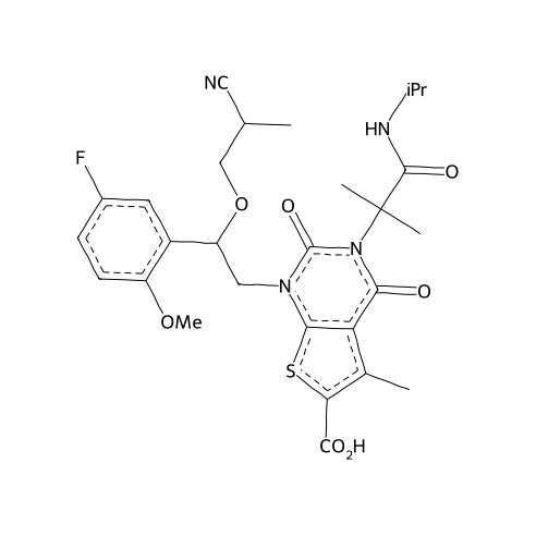 COc1ccc(F)cc1C(Cn1c(=O)n(C(C)(C)C(=O)NC(C)C)c(=O)c2c(C)c(C(=O)O)sc21)OCC(C)C#N